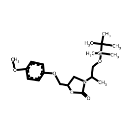 COc1ccc(OCC2CN(C(C)CO[Si](C)(C)C(C)(C)C)C(=O)O2)cc1